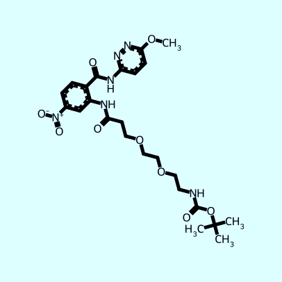 COc1ccc(NC(=O)c2ccc([N+](=O)[O-])cc2NC(=O)CCOCCOCCNC(=O)OC(C)(C)C)nn1